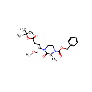 COC[C@H](CCC(=O)OC(C)(C)C)N1CCN(C(=O)OCc2ccccc2)[C@@H](C)C1=O